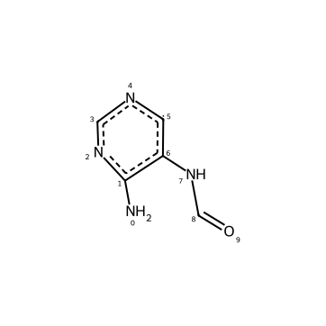 Nc1ncn[c]c1NC=O